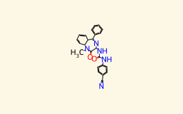 CN1C(=O)C(NC(=O)Nc2ccc(C#N)cc2)N=C(c2ccccc2)C2C=CC=CC21